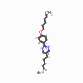 C=CCCCCOc1ccc(-c2ncc(CCCCC[C@@H](C)CC)cn2)cc1